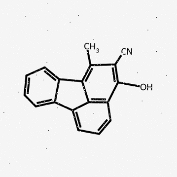 Cc1c(C#N)c(O)c2cccc3c2c1-c1ccccc1-3